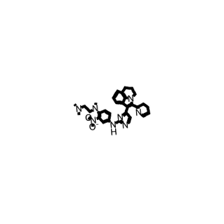 CN(C)CCN(C)c1ccc(Nc2nccc(-c3c(C4=NC=CCC4)n4c5c(cccc35)CCC4)n2)cc1[N+](=O)[O-]